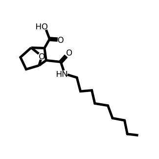 CCCCCCCCCNC(=O)C1C2CCC(O2)C1C(=O)O